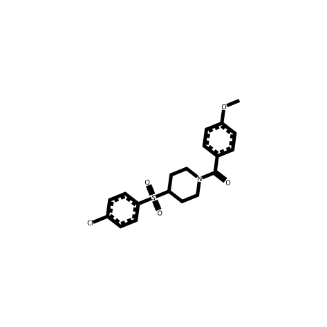 COc1ccc(C(=O)N2CCC(S(=O)(=O)c3ccc(Cl)cc3)CC2)cc1